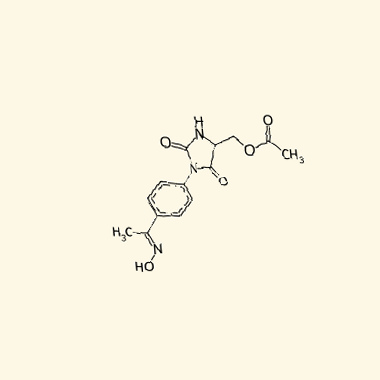 CC(=O)OCC1NC(=O)N(c2ccc(C(C)=NO)cc2)C1=O